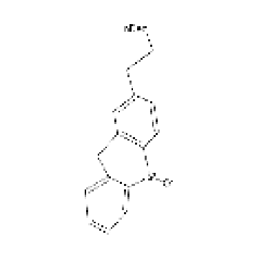 CCCCCCCCCCCCc1ccc2c(c1)Cc1ccccc1[S+]2[O-]